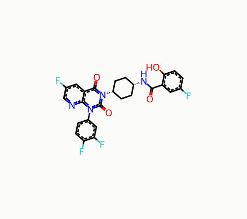 O=C(N[C@H]1CC[C@@H](n2c(=O)c3cc(F)cnc3n(-c3ccc(F)c(F)c3)c2=O)CC1)c1cc(F)ccc1O